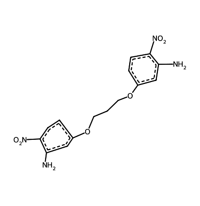 Nc1cc(OCCCOc2ccc([N+](=O)[O-])c(N)c2)ccc1[N+](=O)[O-]